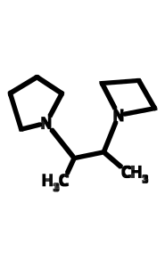 CC(C(C)N1CCC1)N1CCCC1